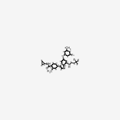 Cc1cc(F)cc(Sc2cc(NCCC(F)(F)F)c3ncc(-c4ccc(C(=O)NC5CC5)c(C)c4)n3c2)c1